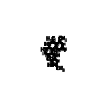 CC1CC(NC2NC(N[C@@H](C)C3NCC(F)=CN3C)NCC2Cl)NN1